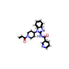 C=CC(=O)N1CCC(n2c(NC(=O)c3cccnc3)nc3ccccc32)CC1